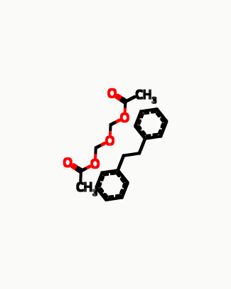 CC(=O)OCOCOC(C)=O.c1ccc(CCc2ccccc2)cc1